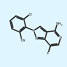 N#Cc1cccc(Cl)c1-n1cc2c(N)ncc(F)c2n1